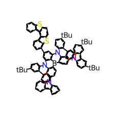 CC(C)(C)c1ccc(N2c3cc(-n4c5ccccc5c5ccccc54)ccc3B3c4ccc(-n5c6ccc(C(C)(C)C)cc6c6cc(C(C)(C)C)ccc65)cc4N(c4ccc(C(C)(C)C)cc4-c4ccccc4)c4cc(-c5cccc6c5sc5ccc7sc8ccccc8c7c56)cc2c43)c(-c2ccccc2)c1